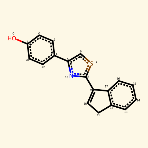 Oc1ccc(-c2csc(C3=CCc4ccccc43)n2)cc1